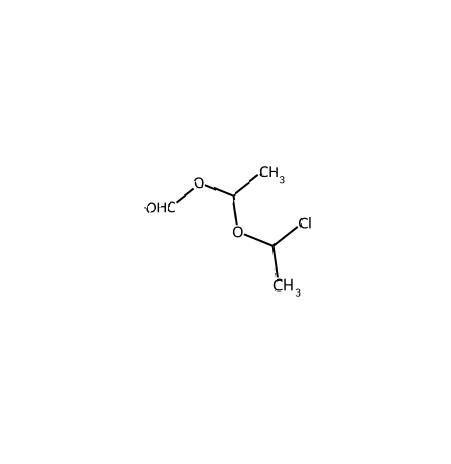 CC(Cl)OC(C)O[C]=O